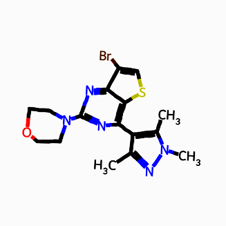 Cc1nn(C)c(C)c1-c1nc(N2CCOCC2)nc2c(Br)csc12